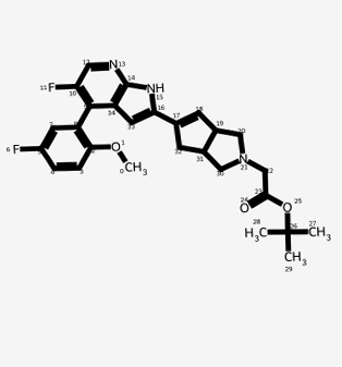 COc1ccc(F)cc1-c1c(F)cnc2[nH]c(C3=CC4CN(CC(=O)OC(C)(C)C)CC4C3)cc12